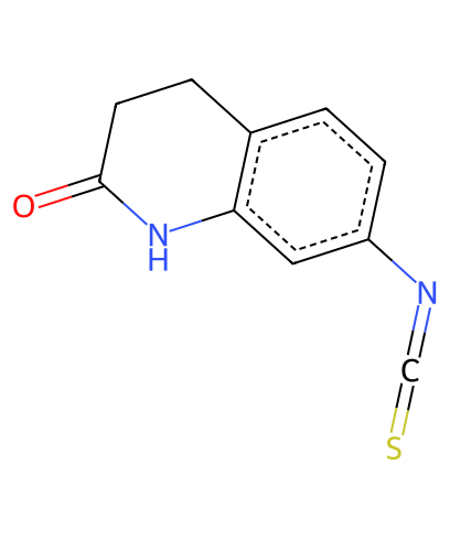 O=C1CCc2ccc(N=C=S)cc2N1